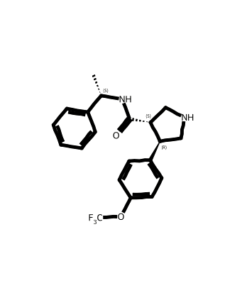 C[C@H](NC(=O)[C@@H]1CNC[C@H]1c1ccc(OC(F)(F)F)cc1)c1ccccc1